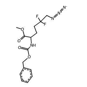 COC(=O)C(CCC(F)(F)CN=[N+]=[N-])NC(=O)OCc1ccccc1